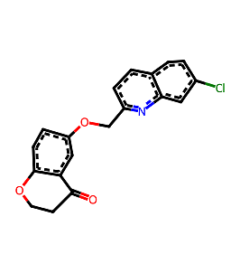 O=C1CCOc2ccc(OCc3ccc4ccc(Cl)cc4n3)cc21